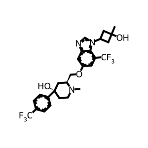 CN1CC[C@@](O)(c2ccc(C(F)(F)F)cc2)C[C@H]1COc1cc(C(F)(F)F)c2c(c1)ncn2C1CC(C)(O)C1